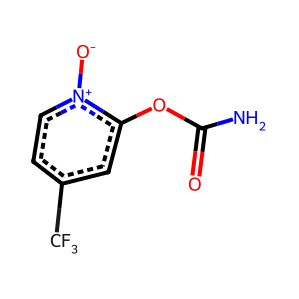 NC(=O)Oc1cc(C(F)(F)F)cc[n+]1[O-]